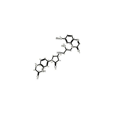 COc1ccc2ncc(=O)n(CC(O)CNC3CC(=O)N(c4ccc5c(c4)NC(=O)CO5)C3)c2c1